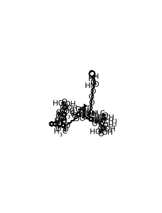 COc1cc2c(cc1OCCCCCOc1cc3c(cc1OC)C(=O)N1CC4(CC4)C[C@H]1[C@H](O)N3C(=O)OCc1ccc(NC(=O)[C@H](CO[C@@H]3O[C@H](C(=O)O)[C@@H](O)[C@H](O)[C@H]3O)NC(=O)[C@@H](NC(C)=O)C(C)C)cc1C(=O)NCCOCCOCCOCCOCCNC(=O)OCC1[C@H]3CCC#CCC[C@@H]13)N(C(=O)OCc1ccc(O[C@@H]3O[C@H](C(=O)O)[C@@H](O)[C@H](O)[C@H]3O)c([N+](=O)[O-])c1)[C@@H](O)[C@@H]1Cc3ccccc3CN1C2=O